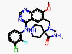 COc1cc2ncnc(Nc3cccc(Cl)c3F)c2cc1CN(C)C1(C(N)=O)CCNCC1